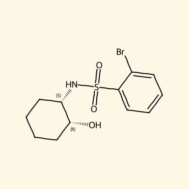 O=S(=O)(N[C@H]1CCCC[C@H]1O)c1ccccc1Br